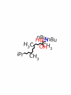 CCCCN(CCCC)CC(O)C(C)(O)CCCC(C)CCCC(C)CCCC(C)C